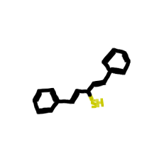 SC(C=Cc1ccccc1)C=Cc1ccccc1